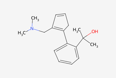 CN(C)CC1=C(c2ccccc2C(C)(C)O)CC=C1